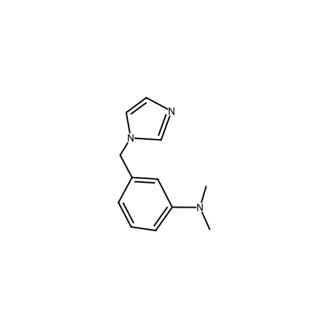 CN(C)c1cccc(Cn2ccnc2)c1